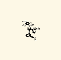 CSc1nccc(-c2c(-c3cccc(C#C[Si](C)(C)C)c3)nc(-c3c(Cl)cc(O)cc3Cl)n2O)n1